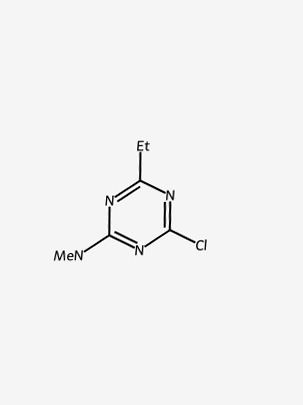 CCc1nc(Cl)nc(NC)n1